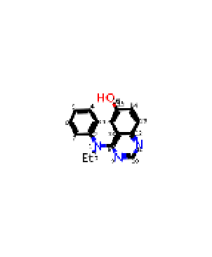 CCN(c1ccccc1)c1ncnc2ccc(O)cc12